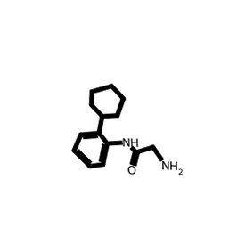 NCC(=O)Nc1ccccc1C1CCCCC1